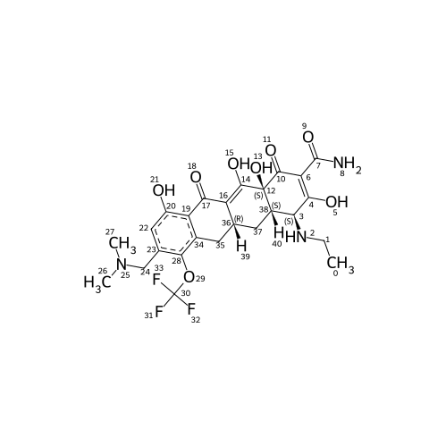 CCN[C@@H]1C(O)=C(C(N)=O)C(=O)[C@@]2(O)C(O)=C3C(=O)c4c(O)cc(CN(C)C)c(OC(F)(F)F)c4C[C@H]3C[C@@H]12